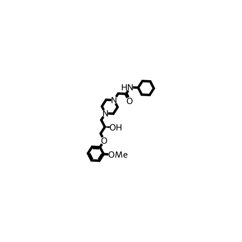 COc1ccccc1OC[C@H](O)CN1CCN(CC(=O)NC2CCCCC2)CC1